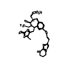 Cc1oc(=O)oc1CC1c2cc(OCCc3cn4c(n3)NCCC4)ccc2C[C@@H](CC(=O)O)C(=O)N1CC(F)(F)F